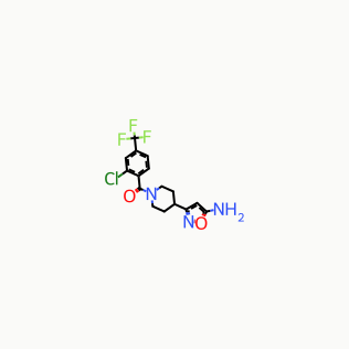 Nc1cc(C2CCN(C(=O)c3ccc(C(F)(F)F)cc3Cl)CC2)no1